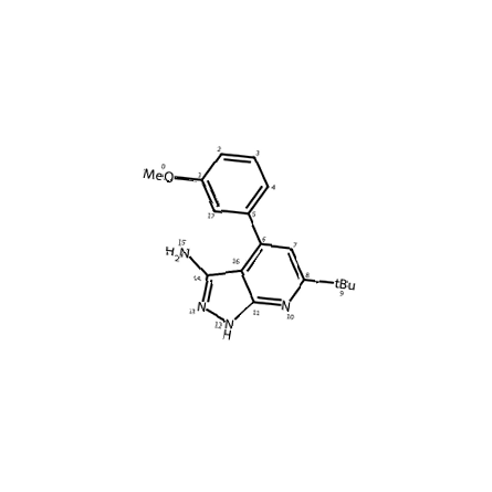 COc1cccc(-c2cc(C(C)(C)C)nc3[nH]nc(N)c23)c1